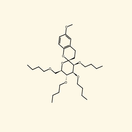 CCCCOC[C@H]1O[C@@]2(CCc3cc(OC)ccc3O2)[C@@H](OCCCC)[C@@H](OCCCC)[C@@H]1OCCCC